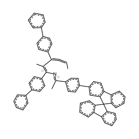 CC=C=C(/C(C)=C(\N=C(/C)c1ccc(-c2ccc3c(c2)C2(c4ccccc4-c4ccccc42)c2ccccc2-3)cc1)c1ccc(-c2ccccc2)cc1)c1ccc(-c2ccccc2)cc1